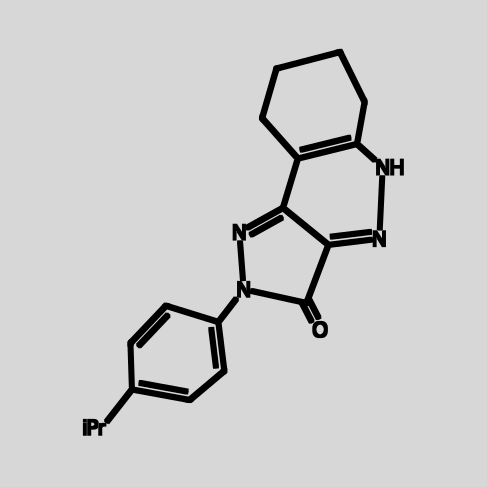 CC(C)c1ccc(-n2nc3c4c([nH]nc-3c2=O)CCCC4)cc1